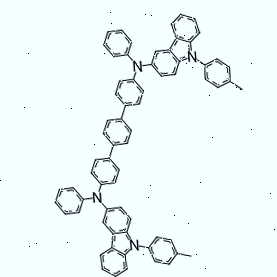 Cc1ccc(-n2c3ccccc3c3cc(N(c4ccccc4)c4ccc(-c5ccc(-c6ccc(N(c7ccccc7)c7ccc8c(c7)c7ccccc7n8-c7ccc(C)cc7)cc6)cc5)cc4)ccc32)cc1